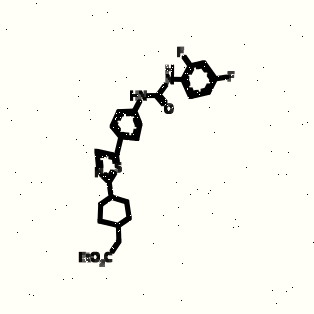 CCOC(=O)CC1CCC(c2ncc(-c3ccc(NC(=O)Nc4ccc(F)cc4F)cc3)s2)CC1